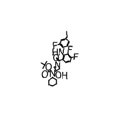 CC(C)(C)OC(=O)N(C1CCCCC1)C1(O)CN(C(=O)c2ccc(F)c(F)c2Nc2ccc(I)cc2F)C1